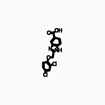 O=C(O)c1ccc2[nH]c(COc3ccc(Cl)cc3Cl)nc2c1